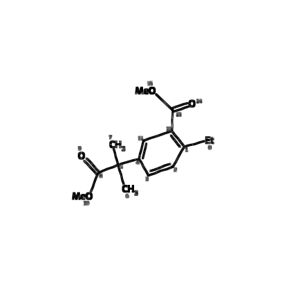 CCc1ccc(C(C)(C)C(=O)OC)cc1C(=O)OC